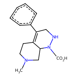 CN1CCC2=C(c3ccccc3)CNN(C(=O)O)C2C1